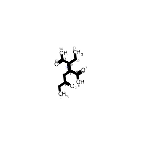 CCC(=O)C/C(C(=O)O)=C(/CC)C(=O)O